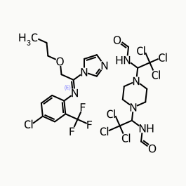 CCCOC/C(=N\c1ccc(Cl)cc1C(F)(F)F)n1ccnc1.O=CNC(N1CCN(C(NC=O)C(Cl)(Cl)Cl)CC1)C(Cl)(Cl)Cl